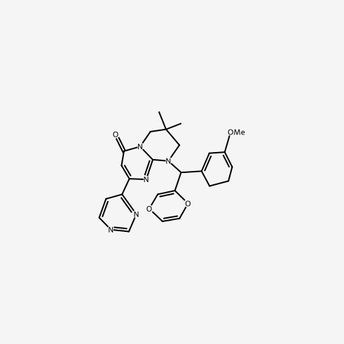 COC1=CCCC(C(C2=COC=CO2)N2CC(C)(C)Cn3c2nc(-c2ccncn2)cc3=O)=C1